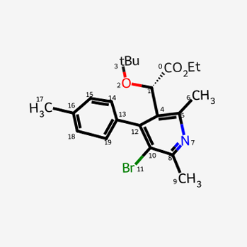 CCOC(=O)[C@@H](OC(C)(C)C)c1c(C)nc(C)c(Br)c1-c1ccc(C)cc1